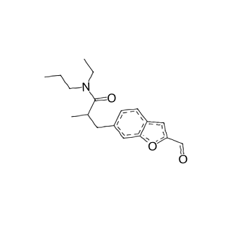 CCCN(CC)C(=O)C(C)Cc1ccc2cc(C=O)oc2c1